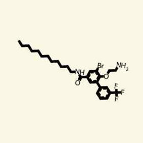 CCCCCCCCCCCCNC(=O)c1cc(Br)c(OCCN)c(-c2cccc(C(F)(F)F)c2)c1